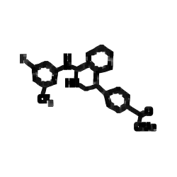 COC(=O)c1ccc(C2=c3ccccc3=C(Nc3cc(F)cc(C(F)(F)F)c3)NC2)cc1